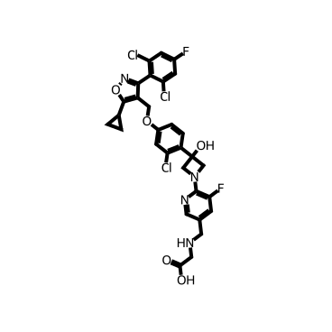 O=C(O)CNCc1cnc(N2CC(O)(c3ccc(OCc4c(-c5c(Cl)cc(F)cc5Cl)noc4C4CC4)cc3Cl)C2)c(F)c1